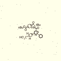 CCCCOC(=O)N1CCN(C(=O)[C@@H](NC(=O)c2cc(N3C[C@@H]4[C@H](C3)[C@@H]4C(=O)O)nc(-c3ccccc3)n2)C(C)(C)C)CC1